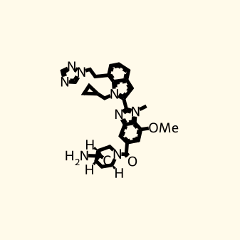 COc1cc(C(=O)N2C[C@H]3CC[C@@H]2C[C@@H]3N)cc2nc(-c3cc4cccc(CCn5cncn5)c4n3CC3CC3)n(C)c12